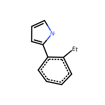 CCc1ccccc1C1=CC=C[N]1